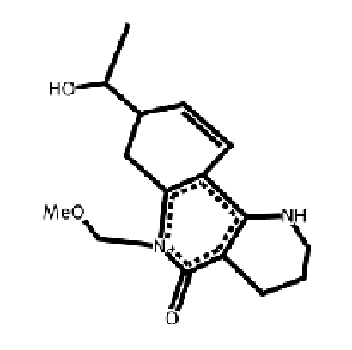 COCn1c2c(c3c(c1=O)CCCN3)C=CC(C(C)O)C2